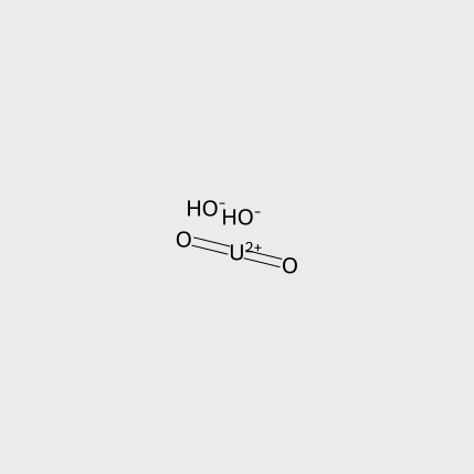 [OH-].[OH-].[O]=[U+2]=[O]